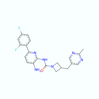 Cc1ncc(CC2CN(C(=O)Nc3nc(-c4ccc(F)cc4F)ccc3N)C2)cn1